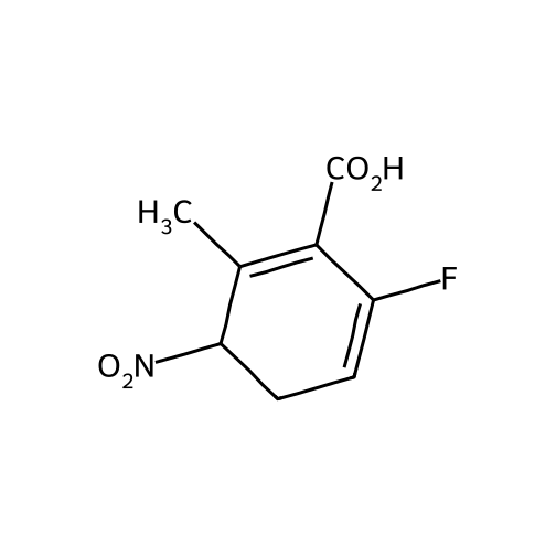 CC1=C(C(=O)O)C(F)=CCC1[N+](=O)[O-]